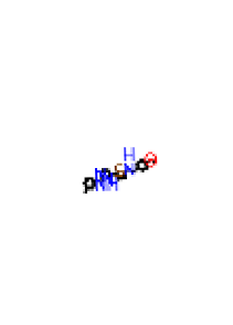 COc1ccc(CNc2ccc(-c3ccnc(Nc4cccc(C)c4)n3)s2)cc1